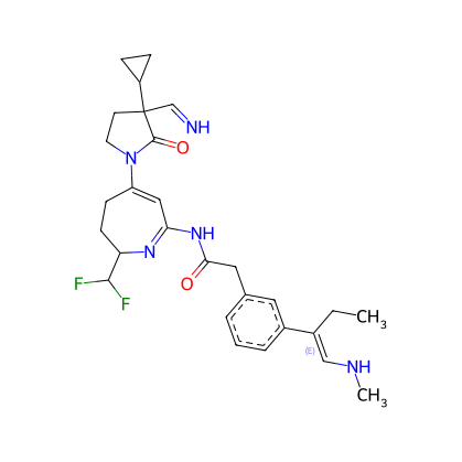 CC/C(=C\NC)c1cccc(CC(=O)NC2=NC(C(F)F)CCC(N3CCC(C=N)(C4CC4)C3=O)=C2)c1